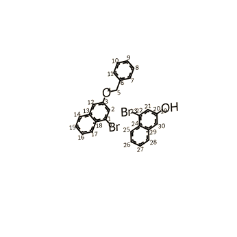 Brc1cc(OCc2ccccc2)cc2ccccc12.Oc1cc(Br)c2ccccc2c1